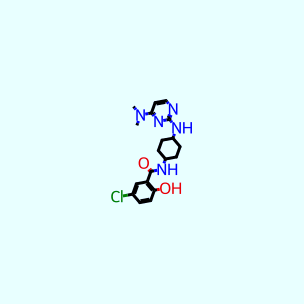 CN(C)c1ccnc(NC2CCC(NC(=O)c3cc(Cl)ccc3O)CC2)n1